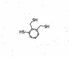 SCc1cccc(S)c1CS